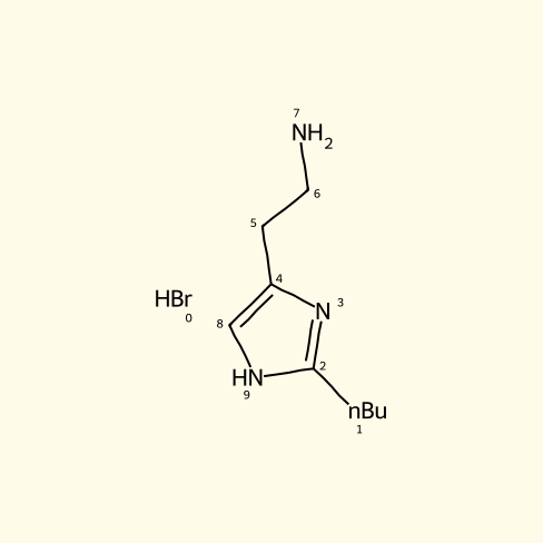 Br.CCCCc1nc(CCN)c[nH]1